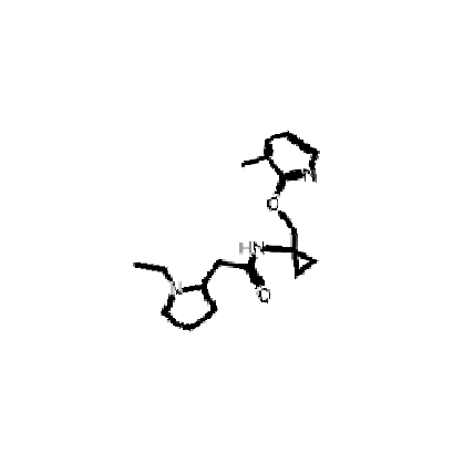 CCN1CCCC1CC(=O)NC1(COc2ncccc2C)CC1